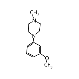 CN1CCN(c2cccc(OC(F)(F)F)c2)CC1